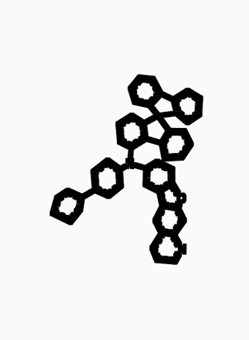 c1ccc(-c2ccc(N(c3ccc4oc5cc6ncccc6cc5c4c3)c3cccc4c3-c3ccccc3C43c4ccccc4-c4ccccc43)cc2)cc1